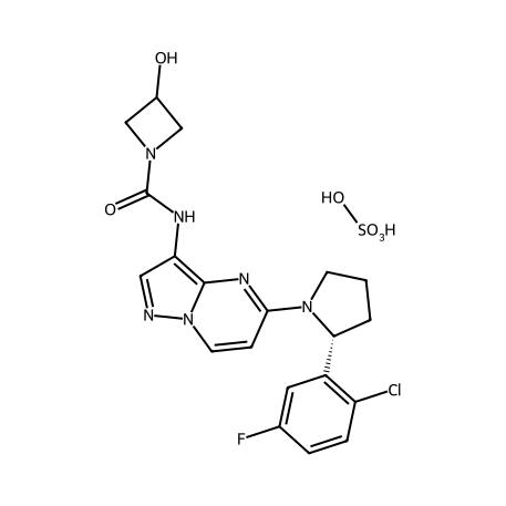 O=C(Nc1cnn2ccc(N3CCC[C@@H]3c3cc(F)ccc3Cl)nc12)N1CC(O)C1.O=S(=O)(O)O